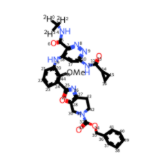 [2H]C([2H])([2H])NC(=O)c1nnc(NC(=O)C2CC2)cc1Nc1cccc(-c2nc3c(o2)CN(C(=O)OCc2ccccc2)CC3)c1OC